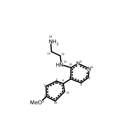 COc1ccc(-c2ccnnc2NCCN)cc1